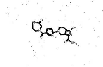 CC(C)n1nc(C(N)=O)c2c1CCN(c1ccc(C(=O)N3CCCNC(=O)C3)cn1)C2